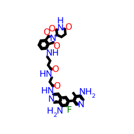 Cc1c(N)cncc1-c1cc2cc(NC(=O)CCNC(=O)CCCNc3cccc4c3C(=O)N(C3CCC(=O)NC3=O)C4=O)ncc2c(N)c1F